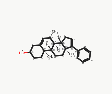 C[C@H]1C=C2C[C@H](O)CC[C@]2(C)[C@H]2CC[C@]3(C)C(c4ccccc4)=CC[C@H]3[C@H]12